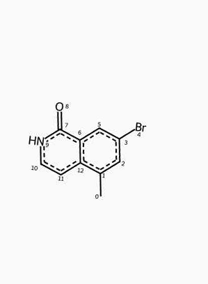 Cc1cc(Br)cc2c(=O)[nH]ccc12